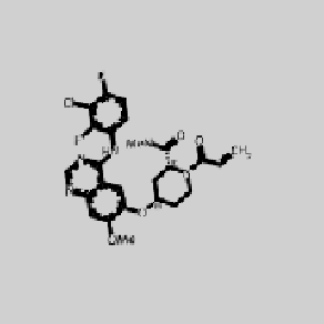 C=CC(=O)N1CC[C@@H](Oc2cc3c(Nc4ccc(F)c(Cl)c4F)ncnc3cc2OC)C[C@@H]1C(=O)NC